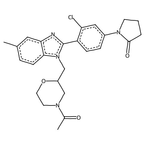 CC(=O)N1CCOC(Cn2c(-c3ccc(N4CCCC4=O)cc3Cl)nc3cc(C)ccc32)C1